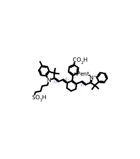 CCCCC[N+]1=C(/C=C/C2=C(c3ccc(C(=O)O)cc3)C(=C/C=C3/N(CCCCS(=O)(=O)O)c4ccc(C)cc4C3(C)C)/CCC2)C(C)(C)c2ccccc21